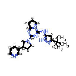 CC(C)(C)c1cc(Nc2nc(N3CCC(c4cccnc4)C3)nc3cccn23)[nH]n1